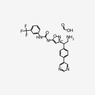 NCC(c1ccc(-c2cncnc2)cc1)[n+]1cc([N-]C(=O)Nc2cccc(C(F)(F)F)c2)on1.O=CO